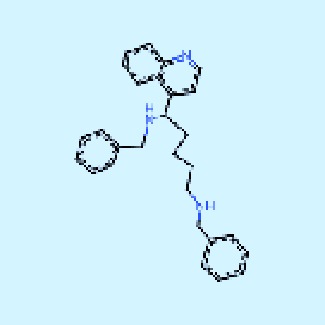 c1ccc(CNCCCCC(NCc2ccccc2)c2ccnc3ccccc23)cc1